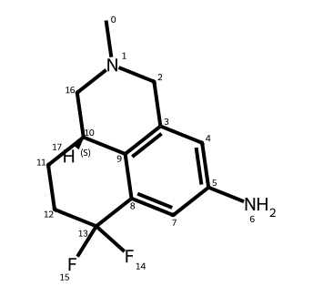 CN1Cc2cc(N)cc3c2[C@H](CCC3(F)F)C1